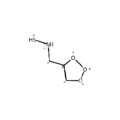 SNCC1COOO1